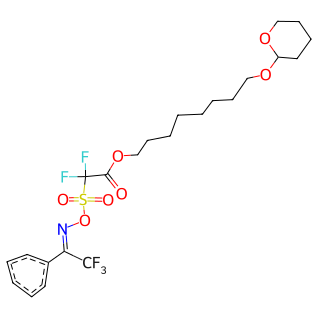 O=C(OCCCCCCCCOC1CCCCO1)C(F)(F)S(=O)(=O)O/N=C(/c1ccccc1)C(F)(F)F